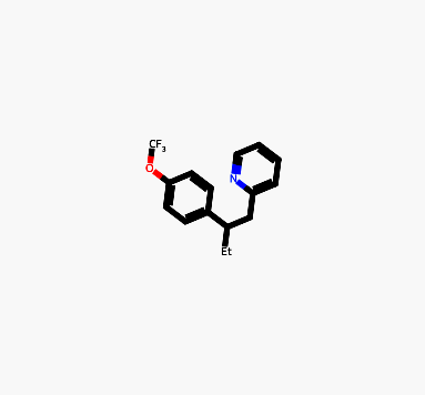 CCC(Cc1ccccn1)c1ccc(OC(F)(F)F)cc1